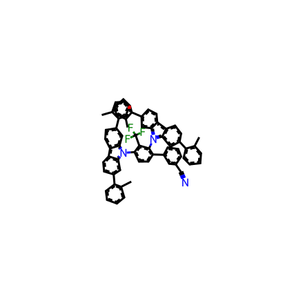 Cc1ccccc1-c1ccc2c3ccc(-c4ccccc4C)cc3n(-c3ccc(-c4cccc(C#N)c4)c(-n4c5cc(-c6ccccc6C)ccc5c5ccc(-c6ccccc6C)cc54)c3C(F)(F)F)c2c1